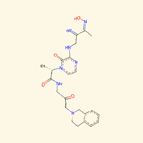 CC[C@@H](C(=O)NCC(=O)CN1CCc2ccccc2C1)n1ccnc(NCC(=N)/C(C)=N\O)c1=O